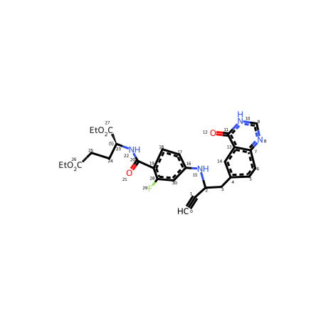 C#CC(Cc1ccc2nc[nH]c(=O)c2c1)Nc1ccc(C(=O)N[C@@H](CCC(=O)OCC)C(=O)OCC)c(F)c1